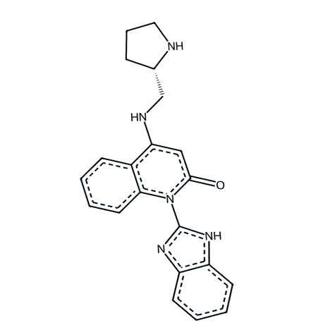 O=c1cc(NC[C@@H]2CCCN2)c2ccccc2n1-c1nc2ccccc2[nH]1